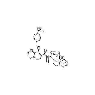 O=C(N[C@H](C(=O)O)C12CCC3CCC(CC3(Br)C1)C2)c1ccc2cccnc2c1OCc1ccc(C(F)(F)F)cc1